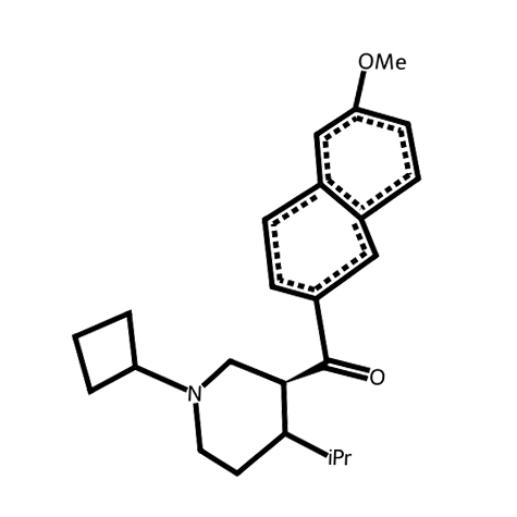 COc1ccc2cc(C(=O)[C@@H]3CN(C4CCC4)CCC3C(C)C)ccc2c1